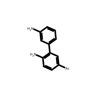 CC(=O)c1ccc(N)c(-c2cccc(N)c2)c1